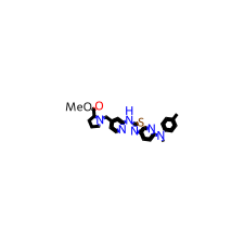 COC(=O)C1CCCN1Cc1ccnc(Nc2nc3ccc(N(C)c4ccc(C)cc4)nc3s2)c1